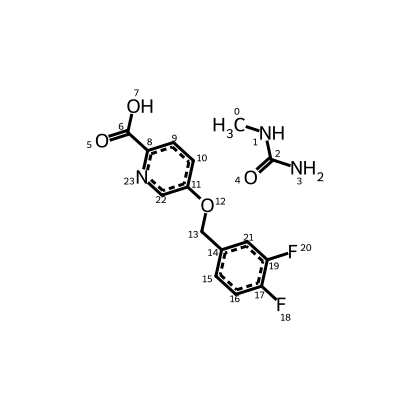 CNC(N)=O.O=C(O)c1ccc(OCc2ccc(F)c(F)c2)cn1